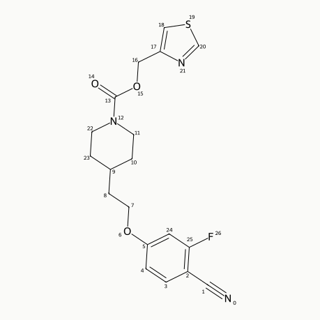 N#Cc1ccc(OCCC2CCN(C(=O)OCc3cscn3)CC2)cc1F